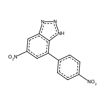 O=[N+]([O-])c1ccc(-c2cc([N+](=O)[O-])cc3nn[nH]c23)cc1